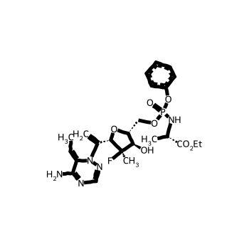 C=C([C@@H]1O[C@H](COP(=O)(N[C@@H](C)C(=O)OCC)Oc2ccccc2)[C@@H](O)[C@@]1(C)F)N1N=CN=C(N)/C1=C/C